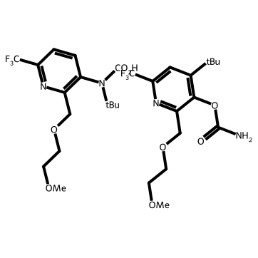 COCCOCc1nc(C(F)(F)F)cc(C(C)(C)C)c1OC(N)=O.COCCOCc1nc(C(F)(F)F)ccc1N(C(=O)O)C(C)(C)C